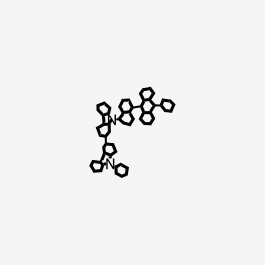 c1ccc(-c2c3ccccc3c(-c3cccc4c(-n5c6ccccc6c6ccc(-c7ccc8c(c7)c7ccccc7n8-c7ccccc7)cc65)cccc34)c3ccccc23)cc1